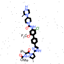 COC(=O)N[C@H](C(=O)N1C[C@@H](C)C[C@H]1c1nc(-c2ccc(-c3cc(Cl)c(NC(=O)N4CCC(N5CCNC[C@@H]5C)CC4)cc3OC(F)(F)F)cc2)c[nH]1)C(C)C